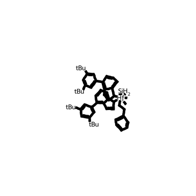 CC(C)(C)c1cc(-c2cccc3c2C=C[CH]3[Hf]([CH3])([CH3])([CH3])(=[SiH2])([CH2]Cc2ccccc2)[CH]2C=Cc3c(-c4cc(C(C)(C)C)cc(C(C)(C)C)c4)cccc32)cc(C(C)(C)C)c1